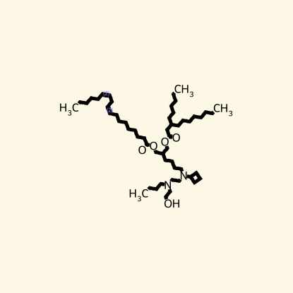 CCCCC/C=C\C/C=C\CCCCCCCC(=O)OCC(CCCCN(CCN(CCO)CCCC)C1CCC1)COC(=O)CC(CCCCCC)CCCCCCCC